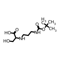 CC(C)(C)OC(=O)NCCCNC(CO)C(=O)O